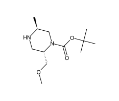 COC[C@@H]1CN[C@@H](C)CN1C(=O)OC(C)(C)C